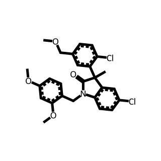 COCc1ccc(Cl)c(C2(C)C(=O)N(Cc3ccc(OC)cc3OC)c3ccc(Cl)cc32)c1